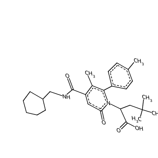 Cc1ccc(-c2c(C)c(C(=O)NCC3CCCCC3)cc(=O)n2C(CC(C)(C)C)C(=O)O)cc1